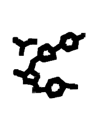 CC(=O)O.O=C1N=C(Nc2cc[c]([Na])cc2)SC1=Cc1ccc(-c2ccc(F)cc2)cc1